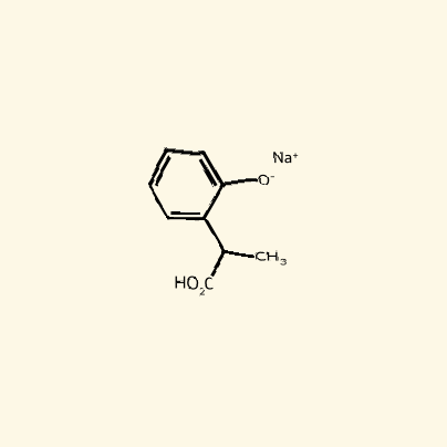 CC(C(=O)O)c1ccccc1[O-].[Na+]